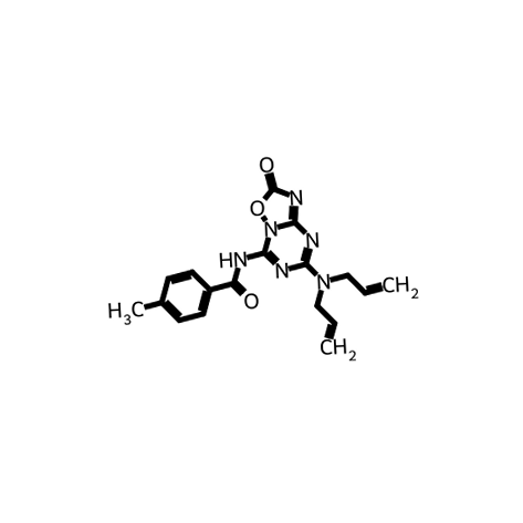 C=CCN(CC=C)c1nc(NC(=O)c2ccc(C)cc2)n2oc(=O)nc2n1